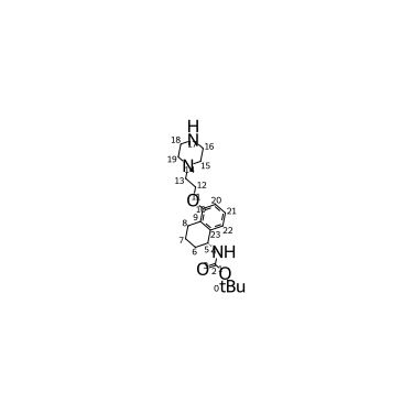 CC(C)(C)OC(=O)N[C@@H]1CCCc2c(OCCN3CCNCC3)cccc21